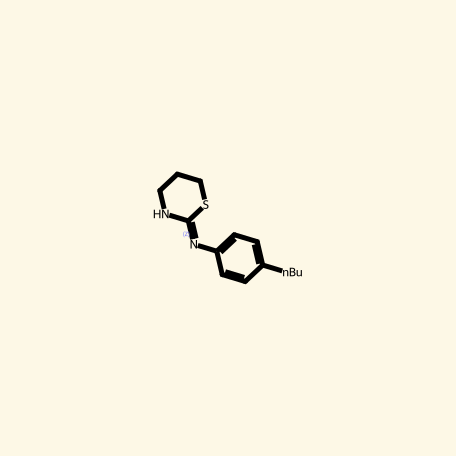 CCCCc1ccc(/N=C2/NCCCS2)cc1